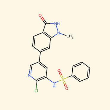 Cn1[nH]c(=O)c2ccc(-c3cnc(Cl)c(NS(=O)(=O)c4ccccc4)c3)cc21